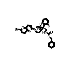 O=C(NC[C@]1(c2ccccc2F)[C@@H]2CN(c3ccc4nc(Br)ccc4n3)CC[C@@H]21)OCc1ccccc1